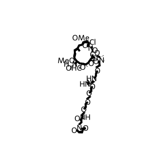 COc1cc2cc(c1Cl)N(C)C(=O)CC(OC(=O)[C@H](C)N(C)C(=O)CCOCCN/C=C(\N=N)OCCOCCOCCOCCNC(=O)CCN1C(=O)C=CC1=O)[C@]1(C)OC1[C@H](C)C(OC=O)CC(N)C(OC)/C=C/C=C(\C)C2